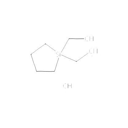 CC[Si]1(CC)CCC[C@H]1C